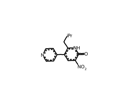 CC(C)Cc1[nH]c(=O)c([N+](=O)[O-])cc1-c1ccncc1